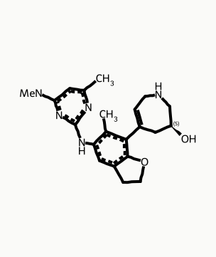 CNc1cc(C)nc(Nc2cc3c(c(C4=CCNC[C@@H](O)C4)c2C)OCC3)n1